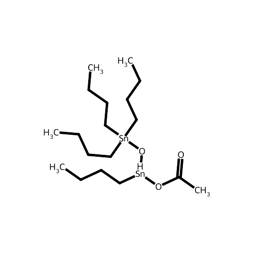 CCC[CH2][SnH]([O]C(C)=O)[O][Sn]([CH2]CCC)([CH2]CCC)[CH2]CCC